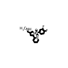 CNCc1cc(-c2ccccn2)n(S(=O)(=O)c2ccc(F)c(F)c2)c1